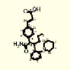 CCCC(c1ccccc1N1CCCCC1)C(C(N)=O)c1ccc(C=CC(=O)O)cc1